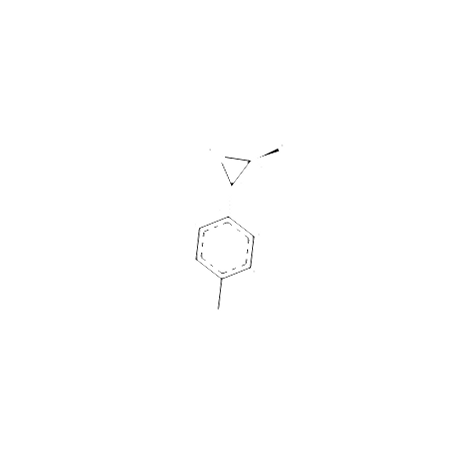 Cc1ccc([C@@H]2O[C@H]2C)cc1